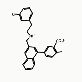 Cc1ccc(-c2cc(CNCCc3cccc(Cl)c3)cc3ccccc23)cc1C(=O)O